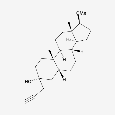 C#CC[C@@]1(O)CC[C@@]2(C)[C@H](CC[C@@H]3[C@@H]2CC[C@]2(C)[C@@H](OC)CC[C@@H]32)C1